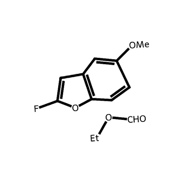 CCOC=O.COc1ccc2oc(F)cc2c1